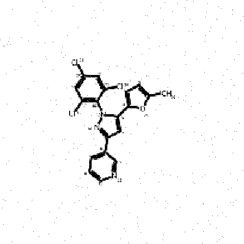 Cc1ccc(-c2cc(-c3cccnc3)nn2-c2c(Cl)cc(Cl)cc2Cl)o1